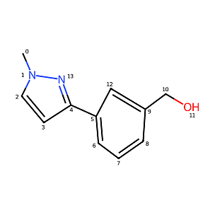 Cn1ccc(-c2cccc(CO)c2)n1